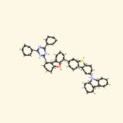 c1ccc(-c2nc(-c3ccccc3)nc(-c3cccc4oc5c(-c6ccc7c(c6)sc6ccc(-n8c9ccccc9c9ccccc98)cc67)cccc5c34)n2)cc1